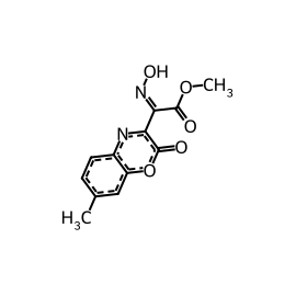 COC(=O)C(=NO)c1nc2ccc(C)cc2oc1=O